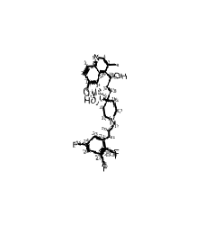 COc1ccc2ncc(C)c([C@H](O)CCC3(C(=O)O)CCN(CCCc4cc(F)cc(F)c4F)CC3)c2c1